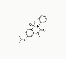 CC(C)Oc1ccc2c(c1)N(C)C(=O)N(c1ccccn1)S2(=O)=O